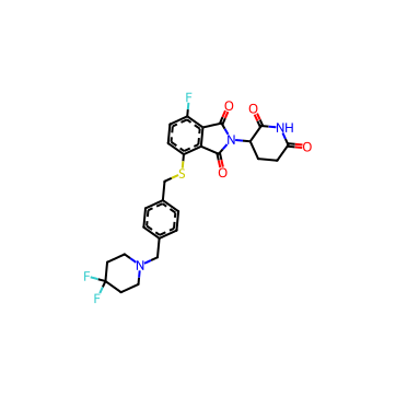 O=C1CCC(N2C(=O)c3c(F)ccc(SCc4ccc(CN5CCC(F)(F)CC5)cc4)c3C2=O)C(=O)N1